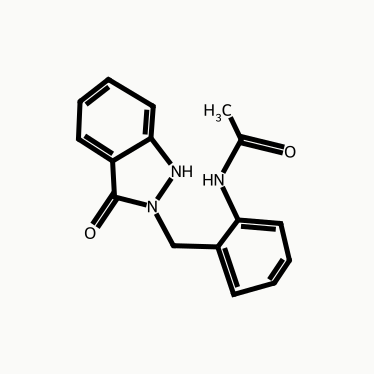 CC(=O)Nc1ccccc1Cn1[nH]c2ccccc2c1=O